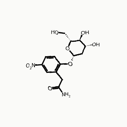 NC(=O)Cc1cc([N+](=O)[O-])ccc1O[C@H]1C[C@@H](O)[C@H](O)[C@@H](CO)O1